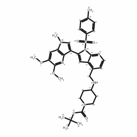 COc1cc2c(nc1OC)c(-c1cc3c(CNC4CCN(C(=O)OC(C)(C)C)CC4)ccnc3n1S(=O)(=O)c1ccc(C)cc1)cn2C